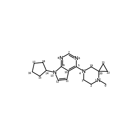 CN1CCN(c2ncnc3c2ccn3C2CCCC2)CC12CC2